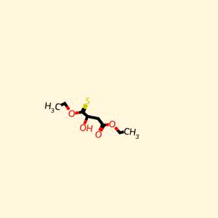 CCOC(=O)CC(O)C(=S)OCC